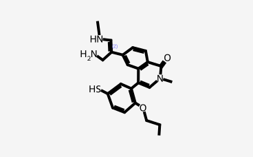 CCCOc1ccc(S)cc1-c1cn(C)c(=O)c2ccc(/C(=C/NC)CN)cc12